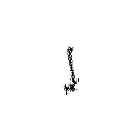 CCCN(CCCNC(=O)OC1CCC1)C(=O)C1=Cc2ccc(-c3cncc(CNC(=O)CCOCCOCCOCCOCCOCCOCCOCCOCCOCCOCCC(=O)Oc4c(F)c(F)cc(F)c4F)c3)cc2N=C(N)C1